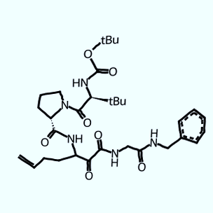 C=CCCC(NC(=O)[C@@H]1CCCN1C(=O)[C@@H](NC(=O)OC(C)(C)C)C(C)(C)C)C(=O)C(=O)NCC(=O)NCc1ccccc1